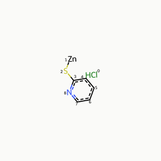 Cl.[Zn][S]c1ccccn1